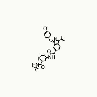 C=C(C)c1nn(Cc2ccc(OC)cc2)c2cc(CC(=O)Nc3ccnc(C(=O)NC(C)(C)C)c3)ccc12